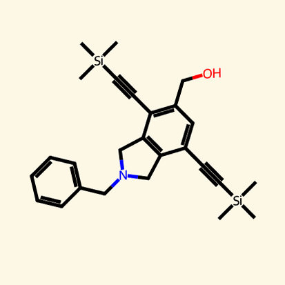 C[Si](C)(C)C#Cc1cc(CO)c(C#C[Si](C)(C)C)c2c1CN(Cc1ccccc1)C2